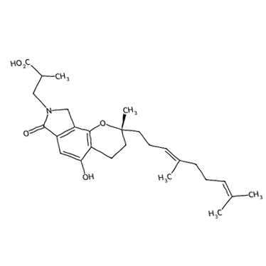 CC(C)=CCC/C(C)=C/CC[C@]1(C)CCc2c(O)cc3c(c2O1)CN(CC(C)C(=O)O)C3=O